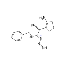 N=N/N=C(\NCc1ccccc1)C(=N)C1=C(N)CCC1